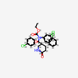 CCOC(=O)N1C(=O)[C@]2(c3ccc(Cl)cc31)[C@@H](c1cccc(Cl)c1)NC(=O)C[C@H]2c1cccc(Cl)c1